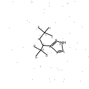 CC(C)(C)CC(c1cc[nH]c1)C(C)(C)C